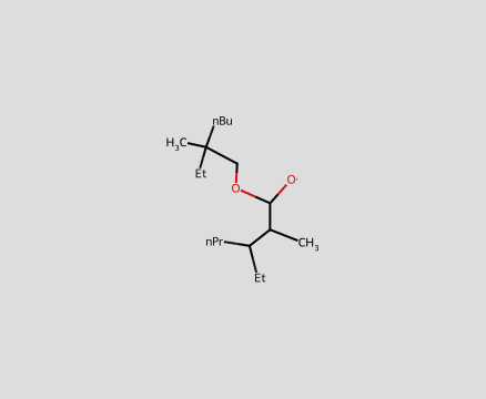 CCCCC(C)(CC)COC([O])C(C)C(CC)CCC